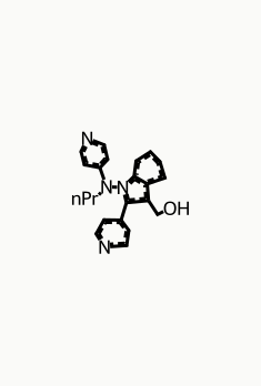 CCCN(c1ccncc1)n1c(-c2ccncc2)c(CO)c2ccccc21